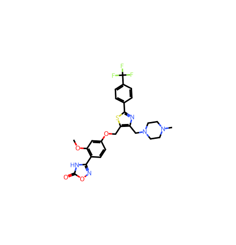 COc1cc(OCc2sc(-c3ccc(C(F)(F)F)cc3)nc2CN2CCN(C)CC2)ccc1-c1noc(=O)[nH]1